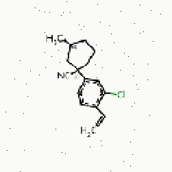 C=Cc1ccc([C@@]2(C#N)CCC[C@H](C)C2)cc1Cl